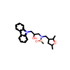 CC1CC(CN(CC(O)Cn2c3ccccc3c3ccccc32)[S+](C)[O-])C(C)O1